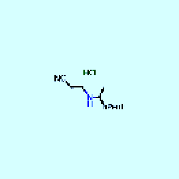 CCCCCC(C)NCCC#N.Cl